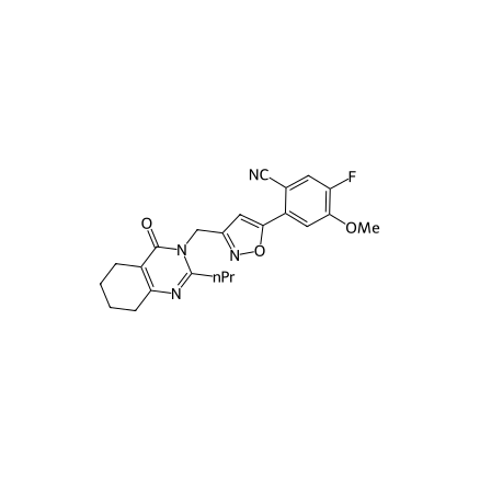 CCCc1nc2c(c(=O)n1Cc1cc(-c3cc(OC)c(F)cc3C#N)on1)CCCC2